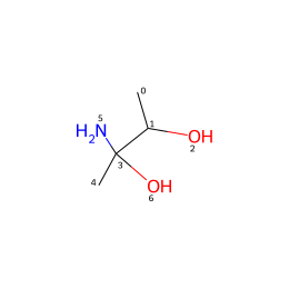 CC(O)C(C)(N)O